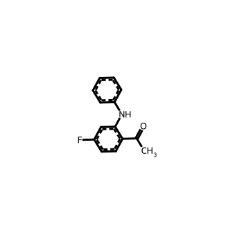 CC(=O)c1ccc(F)cc1Nc1ccccc1